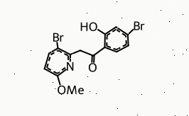 COc1ccc(Br)c(CC(=O)c2ccc(Br)cc2O)n1